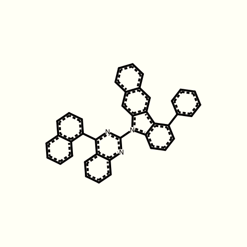 c1ccc(-c2cccc3c2c2cc4ccccc4cc2n3-c2nc(-c3cccc4ccccc34)c3ccccc3n2)cc1